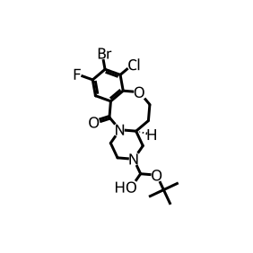 CC(C)(C)OC(O)N1CCN2C(=O)c3cc(F)c(Br)c(Cl)c3OCC[C@H]2C1